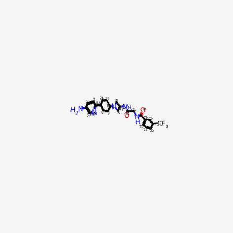 Nc1ccc(C2CCC(N3CC(NC(=O)CNC(=O)c4cccc(C(F)(F)F)c4)C3)CC2)nc1